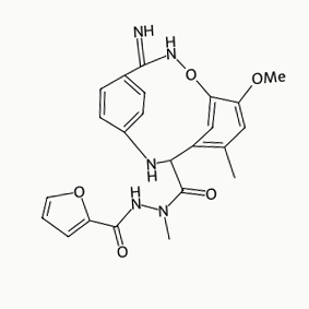 COc1cc(C)c2cc1ONC(=N)c1ccc(cc1)NC2C(=O)N(C)NC(=O)c1ccco1